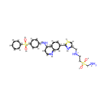 NCS(=O)(=O)CCNCc1csc(-c2ccc3c(Nc4ccc(S(=O)(=O)c5ccccc5)cc4)ccnc3c2)n1